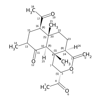 C=C1O[C@H](C(C)=O)C[C@]2(C)[C@H]3C(=O)C(C)C[C@@H](C(C)=O)[C@]3(C)CC[C@@H]12